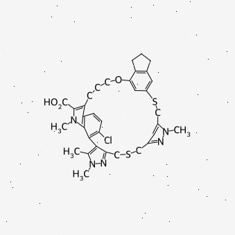 Cc1c2c(nn1C)CSCc1cc(n(C)n1)CSc1cc3c(c(c1)OCCCc1c(C(=O)O)n(C)c4c-2c(Cl)ccc14)CCC3